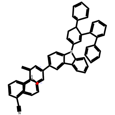 C=C(/C=C(\C=C/Nc1cccc(C#N)c1)c1ccc2c(c1)c1ccccc1n2C1=CCC(c2ccccc2)C(c2ccccc2-c2ccccc2)=C1)c1ccccc1